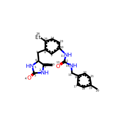 C=C1NC(=O)NC1Cc1cc(NC(=O)NCc2ccc(C)cc2)ccc1CC